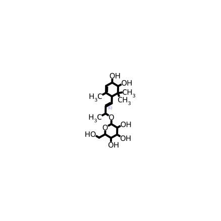 CC1=CC(O)C(O)C(C)(C)C1/C=C/C(C)OC1OC(CO)C(O)C(O)C1O